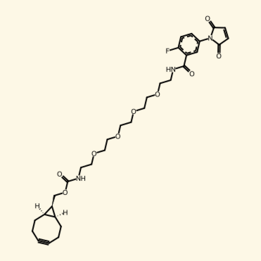 O=C(NCCOCCOCCOCCOCCNC(=O)c1cc(N2C(=O)C=CC2=O)ccc1F)OC[C@@H]1[C@@H]2CCC#CCC[C@@H]21